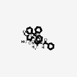 COC1(OC)[C@H](O)[C@@H](CO)O[C@]1(n1cc(C)c(NC(=O)c2ccccc2)nc1=O)C(c1ccccc1)(c1ccccc1)c1ccccc1